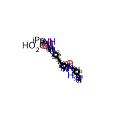 CC(C)[C@@H](NS(=O)(=O)N1CCN(c2ccc(C#Cc3ccnc(C(=O)NCc4ccc(CN(C)C)cc4)c3)cc2)CC1)C(=O)O